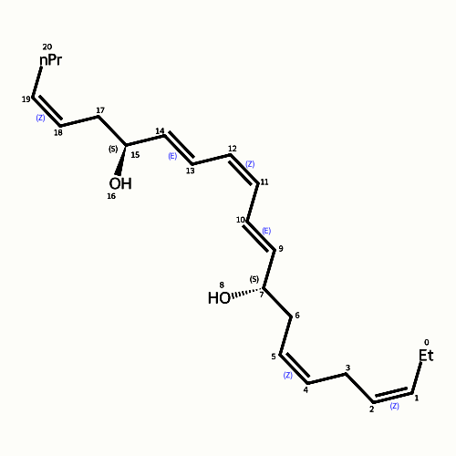 CC/C=C\C/C=C\C[C@H](O)/C=C/C=C\C=C\[C@@H](O)C/C=C\CCC